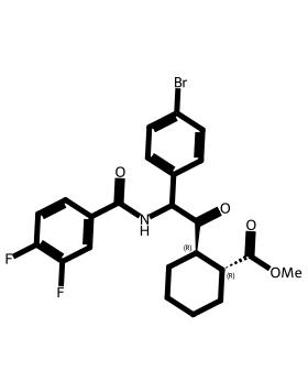 COC(=O)[C@@H]1CCCC[C@H]1C(=O)C(NC(=O)c1ccc(F)c(F)c1)c1ccc(Br)cc1